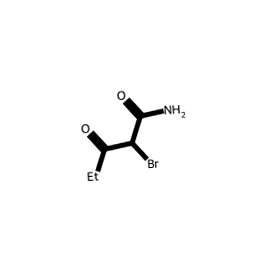 CCC(=O)C(Br)C(N)=O